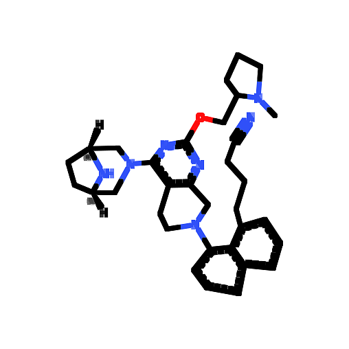 CN1CCCC1COc1nc2c(c(N3C[C@H]4CC[C@@H](C3)N4)n1)CCN(c1cccc3cccc(CCCC#N)c13)C2